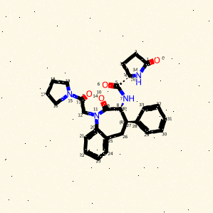 O=C1CC[C@@H](C(=O)N[C@H]2C(=O)N(CC(=O)N3CCCC3)c3ccccc3C[C@@H]2c2ccccc2)N1